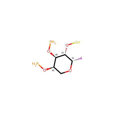 PO[C@H]1[C@H](OS)[C@H](I)OC[C@H]1OP